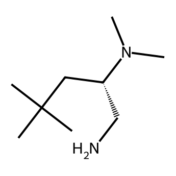 CN(C)[C@H](CN)CC(C)(C)C